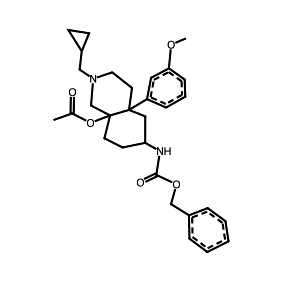 COc1cccc(C23CCN(CC4CC4)CC2(OC(C)=O)CCC(NC(=O)OCc2ccccc2)C3)c1